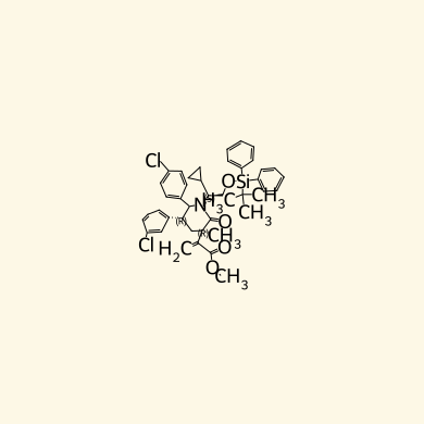 C=C(C(=O)OC)[C@@]1(C)C[C@H](c2cccc(Cl)c2)C(c2ccc(Cl)cc2)N([C@H](CO[Si](c2ccccc2)(c2ccccc2)C(C)(C)C)C2CC2)C1=O